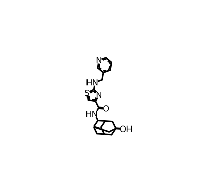 O=C(NC1C2CC3CC1CC(O)(C3)C2)c1csc(NCc2cccnc2)n1